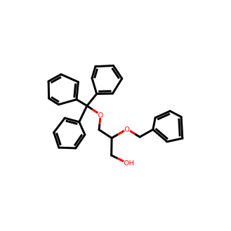 OCC(COC(c1ccccc1)(c1ccccc1)c1ccccc1)OCc1ccccc1